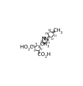 Cc1cc(C(=O)O)cc(C(=O)O)c1.Cc1ccc(-n2cccn2)cc1